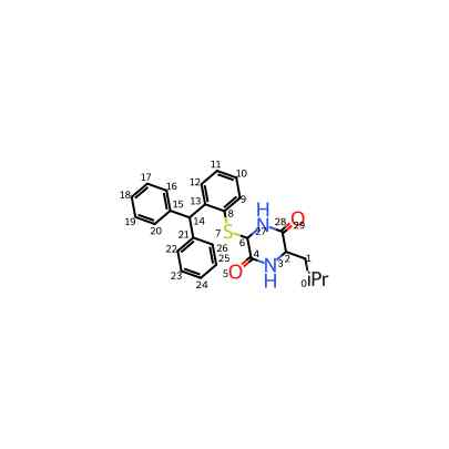 CC(C)CC1NC(=O)C(Sc2ccccc2C(c2ccccc2)c2ccccc2)NC1=O